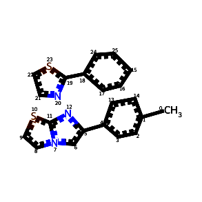 Cc1ccc(-c2cn3ccsc3n2)cc1.c1ccc(-c2nccs2)cc1